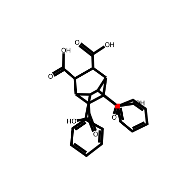 O=C(O)C1C(C(=O)O)C2C(C(=O)O)C(C(=O)O)C1C(c1ccccc1)C2c1ccccc1